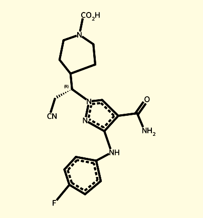 N#CC[C@H](C1CCN(C(=O)O)CC1)n1cc(C(N)=O)c(Nc2ccc(F)cc2)n1